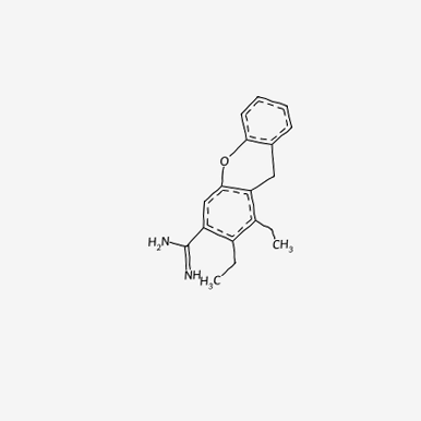 CCc1c(C(=N)N)cc2c(c1CC)Cc1ccccc1O2